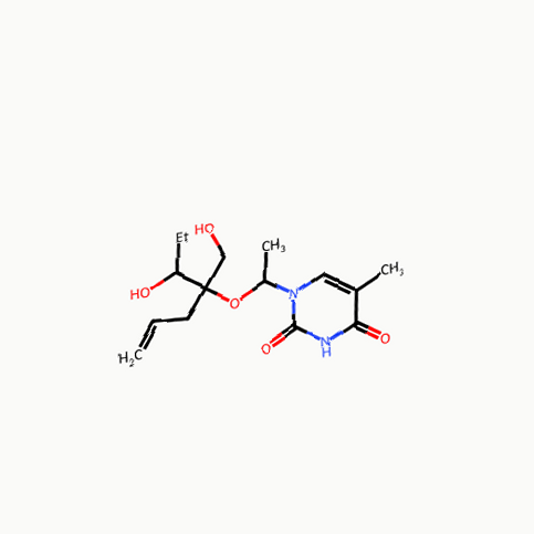 C=CCC(CO)(OC(C)n1cc(C)c(=O)[nH]c1=O)C(O)CC